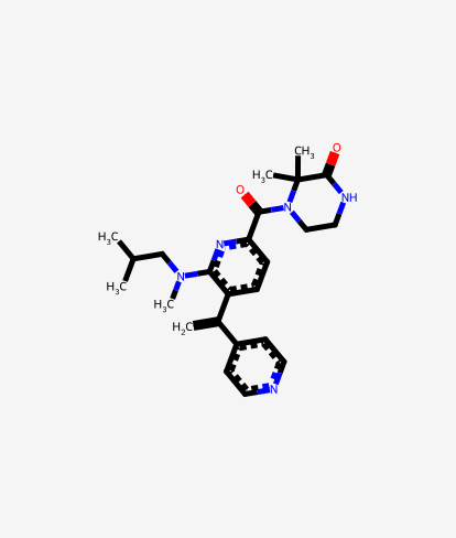 C=C(c1ccncc1)c1ccc(C(=O)N2CCNC(=O)C2(C)C)nc1N(C)CC(C)C